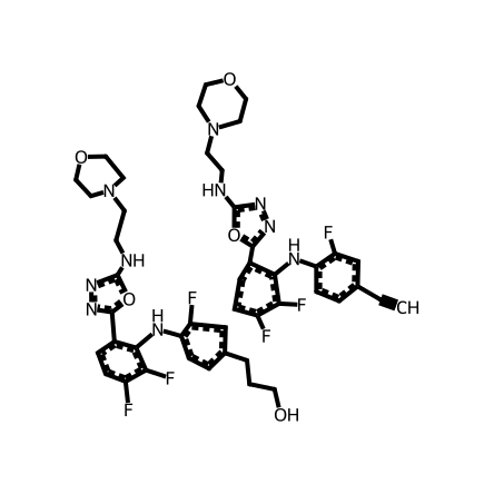 C#Cc1ccc(Nc2c(-c3nnc(NCCN4CCOCC4)o3)ccc(F)c2F)c(F)c1.OCCCc1ccc(Nc2c(-c3nnc(NCCN4CCOCC4)o3)ccc(F)c2F)c(F)c1